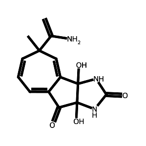 C=C(N)C1(C)C=CC=C2C(=O)C3(O)NC(=O)NC3(O)C2=C1